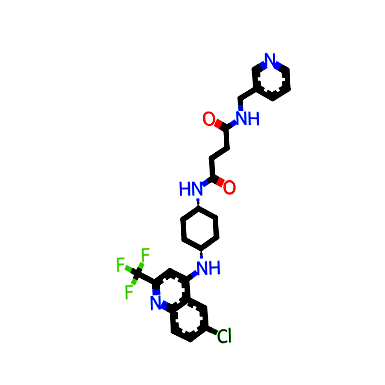 O=C(CCC(=O)N[C@H]1CC[C@@H](Nc2cc(C(F)(F)F)nc3ccc(Cl)cc23)CC1)NCc1cccnc1